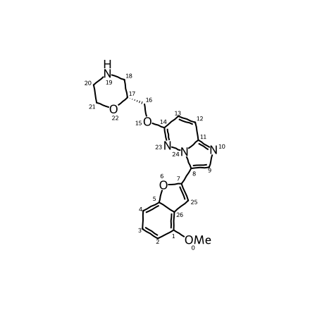 COc1cccc2oc(-c3cnc4ccc(OC[C@H]5CNCCO5)nn34)cc12